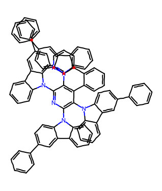 c1ccc(-c2ccc3c(c2)c2ccccc2n3-c2nc(-n3c4ccccc4c4cc(-c5ccccc5)ccc43)c(-n3c4ccccc4c4cc(-c5ccccc5)ccc43)c(-c3ccccc3-c3cccnc3)c2-n2c3ccccc3c3cc(-c4ccccc4)ccc32)cc1